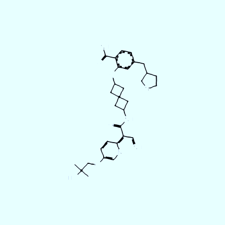 CC(C)(O)COC1=CN/C(=C(\C=N)C(=O)NC2CC3(C2)CC(Oc2cc(CC4CCNC4)ccc2C(N)=O)C3)C=C1